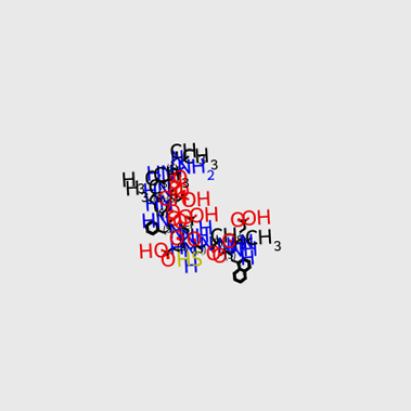 CCN(C)C[C@H](NC(=O)[C@@H](NC(=O)[C@H](CC(=O)O)NC(=O)[C@H](CC1CC[C@@H]1O)NC(=O)[C@H](Cc1ccccc1)NC(=O)[C@H](CC(=O)O)NC(=O)[C@H](CCC(=O)O)NC(=O)[C@@H](CS)NC(=O)[C@@H](C)NC(=O)[C@H](Cc1cccc2ccccc12)NC(=O)[C@H](CCC(=O)O)NC)C(C)(C)C)C(N)=O